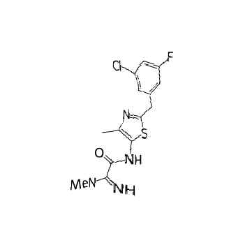 CNC(=N)C(=O)Nc1sc(Cc2cc(F)cc(Cl)c2)nc1C